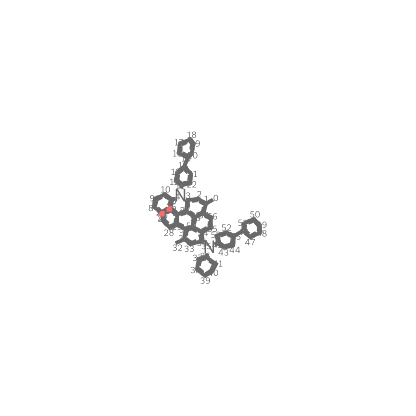 Cc1cc(N(c2ccccc2)c2ccc(-c3ccccc3)cc2)c2c3ccccc3c3c(C)cc(N(c4ccccc4)c4ccc(-c5ccccc5)cc4)c4ccc1c2c43